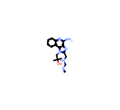 C=NCNCc1nc2c(N)nc3ccccc3c2n1CC(C)(C)O